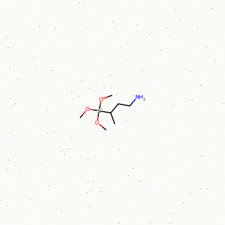 CO[Si](OC)(OC)C(C)CCN